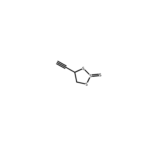 C#CC1CSS(=S)S1